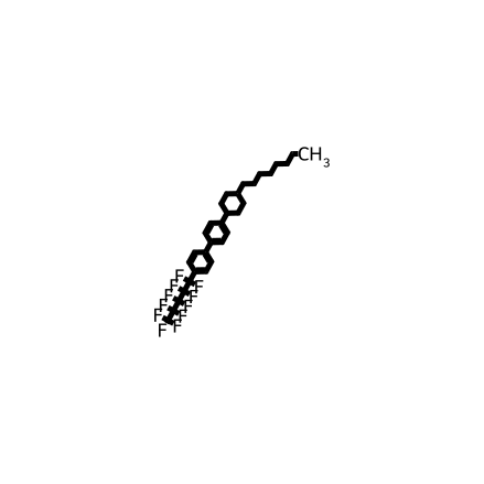 CCCCCCCCC1CCC(c2ccc(-c3ccc(C(F)(F)C(F)(F)C(F)(F)C(F)(F)C(F)(F)F)cc3)cc2)CC1